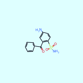 Nc1ccc(S(N)(=O)=O)c(C(=O)c2ccccc2)c1